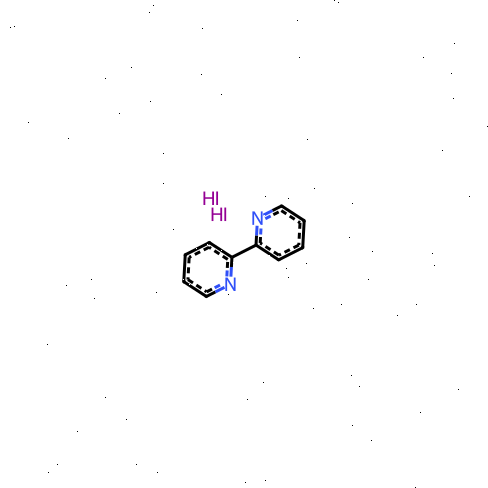 I.I.c1ccc(-c2ccccn2)nc1